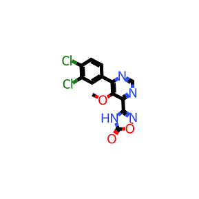 COc1c(-c2ccc(Cl)c(Cl)c2)ncnc1-c1noc(=O)[nH]1